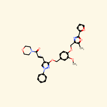 COc1cc(COc2nn(-c3ccccc3)cc2/C=C/C(=O)N2CCOCC2)ccc1OCc1nc(-c2ccco2)oc1C